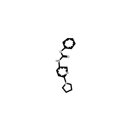 O=C(Nc1ccc(N2CCCC2)nc1)Oc1ccccc1